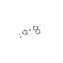 Nc1ccc(/N=N/c2c(Br)cc([N+](=O)[O-])cc2[N+](=O)[O-])c2ccccc12